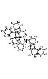 c1ccc(N(c2cccc(C3(c4ccccc4)c4ccccc4-c4ccccc43)c2)c2cccc3c2oc2ccc4ccccc4c23)cc1